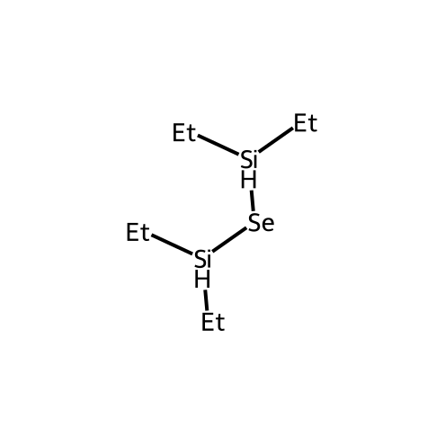 CC[SiH](CC)[Se][SiH](CC)CC